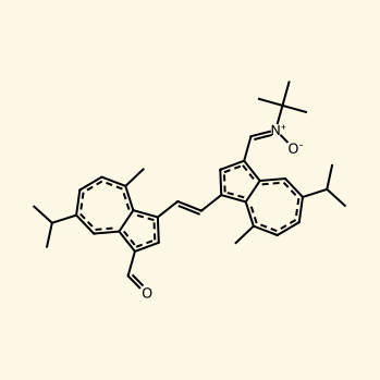 Cc1ccc(C(C)C)cc2c(C=O)cc(/C=C/c3cc(/C=[N+](\[O-])C(C)(C)C)c4cc(C(C)C)ccc(C)c3-4)c1-2